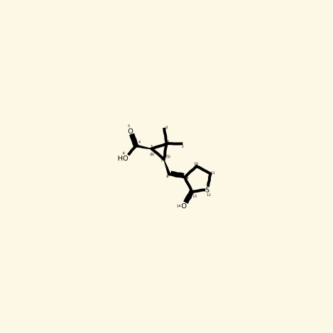 CC1(C)[C@H](C(=O)O)[C@@H]1C=C1CCSC1=O